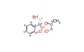 CC1COP(=O)(N(SBr)c2ccccc2)O1